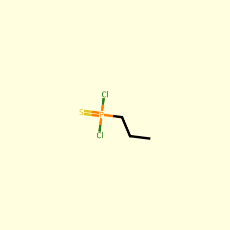 CCCP(=S)(Cl)Cl